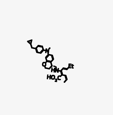 C\C=C/C(C(=O)O)=C(\C=C\CC)NC[C@@H]1CCOc2cc(N(C)c3ccc(CC4CC4)cc3)ccc21